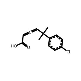 CC(C)(C=C=CC(=O)O)c1ccc(Cl)cc1